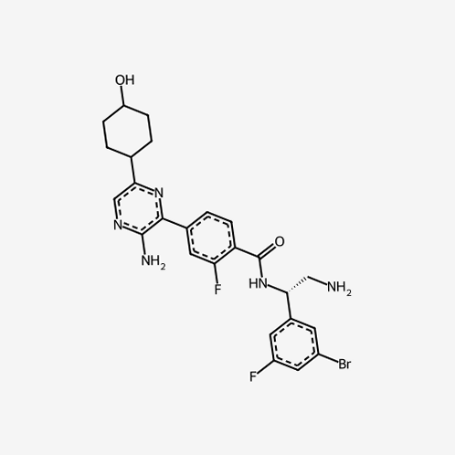 NC[C@@H](NC(=O)c1ccc(-c2nc(C3CCC(O)CC3)cnc2N)cc1F)c1cc(F)cc(Br)c1